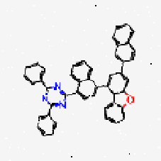 C1=C(c2ccc3ccccc3c2)C=C(c2ccc(-c3nc(-c4ccccc4)nc(-c4ccccc4)n3)c3ccccc23)C2c3ccccc3OC12